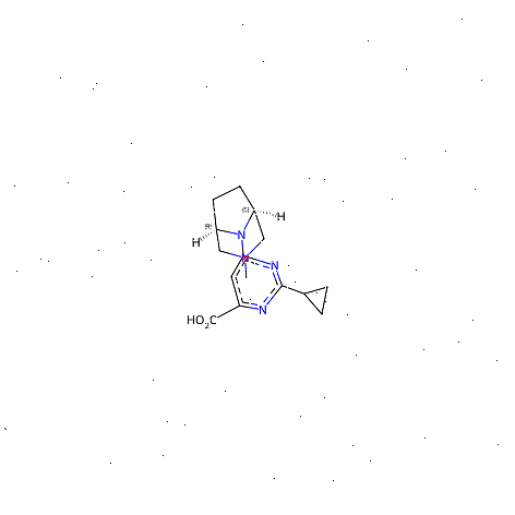 CN1C[C@H]2CC[C@@H](C1)N2c1cc(C(=O)O)nc(C2CC2)n1